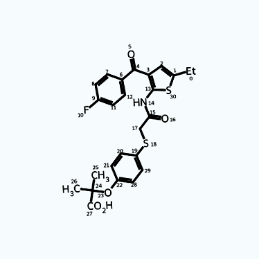 CCc1cc(C(=O)c2ccc(F)cc2)c(NC(=O)CSc2ccc(OC(C)(C)C(=O)O)cc2)s1